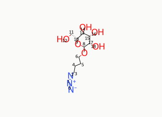 [N-]=[N+]=NCCCCO[C@H]1O[C@H](CO)[C@@H](O)[C@H](O)[C@@H]1O